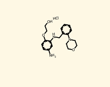 Cl.Nc1ccc(OCCO)c(NCc2ccccc2N2CCOCC2)c1